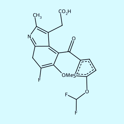 COC1=C(F)CC2=NC(C)=C(CC(=O)O)C2=C1C(=O)c1ccc(OC(F)F)s1